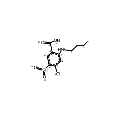 CCCCNc1cc(Cl)c([SH](=O)=O)cc1C(=O)O